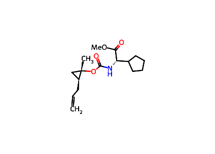 C=CC[C@H]1C[C@]1(C)OC(=O)N[C@H](C(=O)OC)C1CCCC1